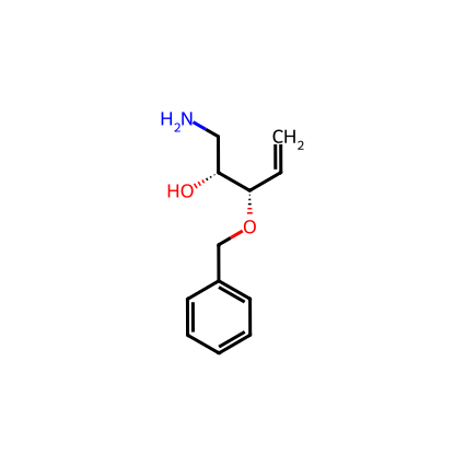 C=C[C@H](OCc1ccccc1)[C@H](O)CN